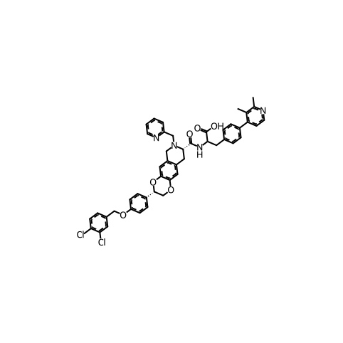 Cc1nccc(-c2ccc(CC(NC(=O)[C@@H]3Cc4cc5c(cc4CN3Cc3ccccn3)O[C@@H](c3ccc(OCc4ccc(Cl)c(Cl)c4)cc3)CO5)C(=O)O)cc2)c1C